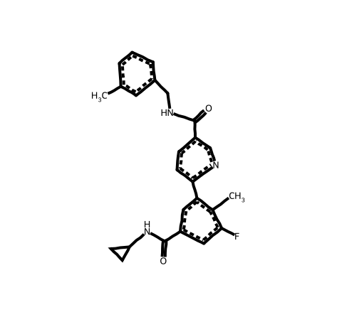 Cc1cccc(CNC(=O)c2ccc(-c3cc(C(=O)NC4CC4)cc(F)c3C)nc2)c1